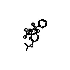 CC(C)OC1=NC(NS(=O)(=O)c2ccccc2)([N+](=O)[O-])NC=C1